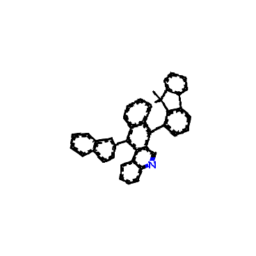 CC1(C)c2ccccc2-c2cccc(-c3c4ccccc4c(-c4ccc5ccccc5c4)c4c3cnc3ccccc34)c21